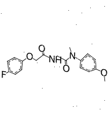 COc1ccc(N(C)C(=O)CNC(=O)COc2ccc(F)cc2)cc1